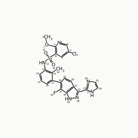 COc1ncc(Cl)cc1S(=O)(=O)Nc1cccc(-c2ccc3c(-c4ncc[nH]4)n[nH]c3c2F)c1C